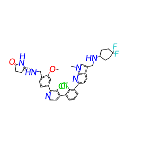 COc1cc(-c2nccc(-c3cccc(-c4ccc5c(CNC6CCC(F)(F)CC6)cn(C)c5n4)c3Cl)c2Cl)ccc1CNC[C@@H]1CCC(=O)N1